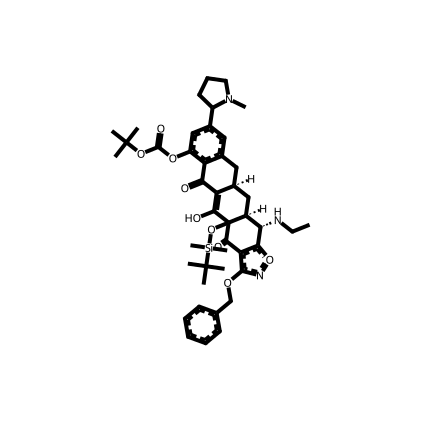 CCN[C@@H]1c2onc(OCc3ccccc3)c2C(=O)C2(O[Si](C)(C)C(C)(C)C)C(O)=C3C(=O)c4c(cc(C5CCCN5C)cc4OC(=O)OC(C)(C)C)C[C@H]3C[C@@H]12